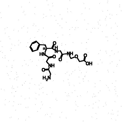 NCC(=O)NCC(=O)N[C@@H](Cc1ccccc1)C(=O)NCC(=O)NCOCC(=O)O